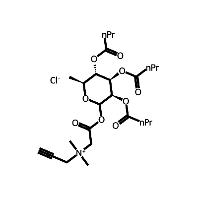 C#CC[N+](C)(C)CC(=O)OC1O[C@@H](C)[C@H](OC(=O)CCC)[C@@H](OC(=O)CCC)[C@H]1OC(=O)CCC.[Cl-]